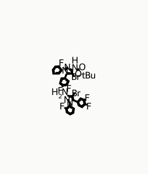 CC(C)(C)OC(=O)Nc1nn(-c2ccccc2F)c(-c2ccc(F)c(F)c2)c1Br.Nc1nn(-c2ccccc2F)c(-c2ccc(F)c(F)c2)c1Br